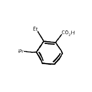 CCc1c(C(=O)O)cccc1C(C)C